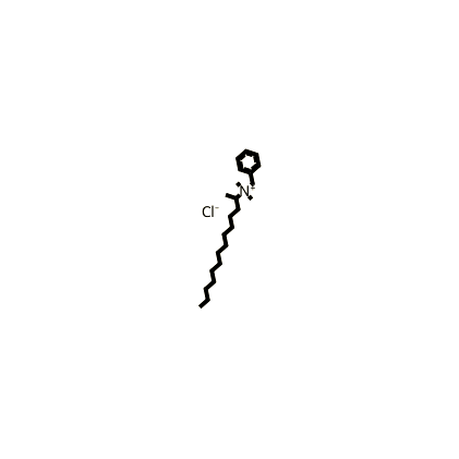 CCCCCCCCCCCCC(C)[N+](C)(C)Cc1ccccc1.[Cl-]